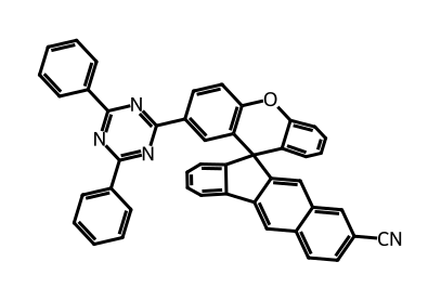 N#Cc1ccc2cc3c(cc2c1)C1(c2ccccc2Oc2ccc(-c4nc(-c5ccccc5)nc(-c5ccccc5)n4)cc21)c1ccccc1-3